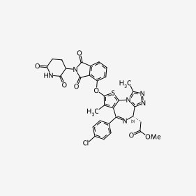 COC(=O)C[C@@H]1N=C(c2ccc(Cl)cc2)c2c(sc(Oc3cccc4c3C(=O)N(C3CCC(=O)NC3=O)C4=O)c2C)-n2c(C)nnc21